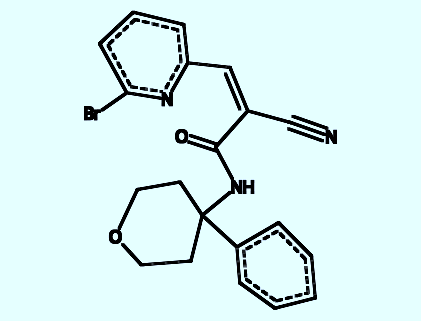 N#CC(=Cc1cccc(Br)n1)C(=O)NC1(c2ccccc2)CCOCC1